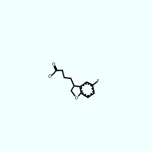 O=C(Cl)CCCC1COc2ccc(F)cc21